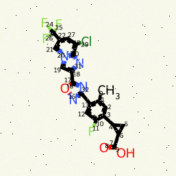 Cc1cc(C2CC2C(=O)O)c(F)cc1-c1noc(-c2cn3cc(C(F)(F)F)cc(Cl)c3n2)n1